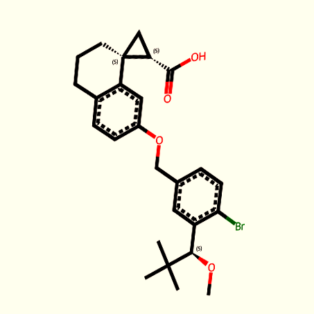 CO[C@H](c1cc(COc2ccc3c(c2)[C@@]2(CCC3)C[C@@H]2C(=O)O)ccc1Br)C(C)(C)C